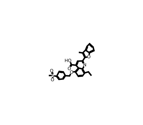 CCc1ccc(OCc2ccc(S(C)(=O)=O)cc2)c2c(C(=O)O)cc(-c3oc4ccccc4c3C)nc12